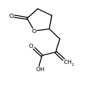 C=C(CC1CCC(=O)O1)C(=O)O